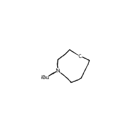 CCC(C)N1CCCCCC1